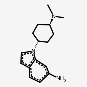 CN(C)[C@H]1CC[C@H](n2ccc3ccc(N)cc32)CC1